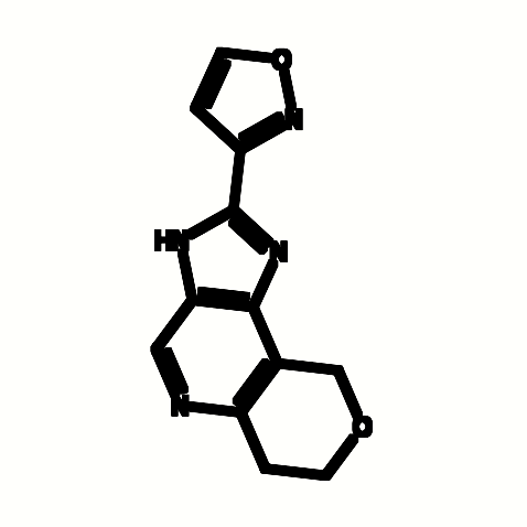 c1cc(-c2nc3c4c(ncc3[nH]2)CCOC4)no1